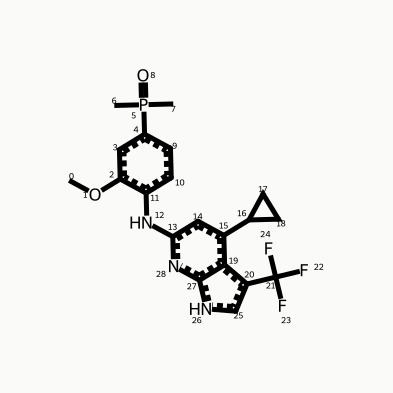 COc1cc(P(C)(C)=O)ccc1Nc1cc(C2CC2)c2c(C(F)(F)F)c[nH]c2n1